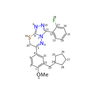 COc1ccc(C2=Nn3c(nnc3-c3ccccc3F)SC2)cc1CC1CCCC1